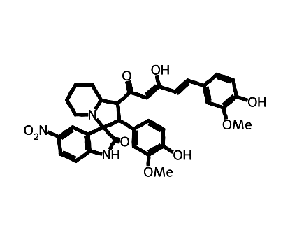 COc1cc(C=CC(O)=CC(=O)C2C3CCCCN3C3(C(=O)Nc4ccc([N+](=O)[O-])cc43)C2c2ccc(O)c(OC)c2)ccc1O